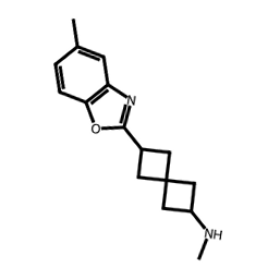 CNC1CC2(C1)CC(c1nc3cc(C)ccc3o1)C2